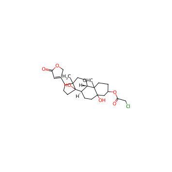 CC12CC[C@H]3[C@@H](CCC4(O)CC(OC(=O)CCl)CCC34C=O)C1(O)CCC2C1=CC(=O)OC1